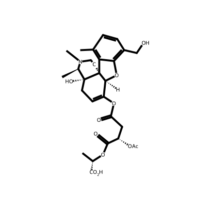 CC(=O)O[C@@H](CC(=O)OC1=CC[C@@]2(O)[C@@H](C)N(C)CC[C@@]23c2c(C)ccc(CO)c2O[C@@H]13)C(=O)O[C@@H](C)C(=O)O